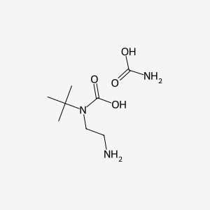 CC(C)(C)N(CCN)C(=O)O.NC(=O)O